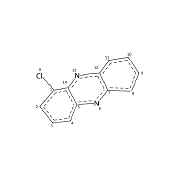 Clc1cccc2nc3ccccc3nc12